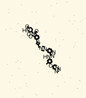 Cc1cc(Nc2ncnc3ccc(N4CCN(CC5CN(c6ccc7c(c6)C(=O)N(C6CCC(=O)NC6=O)C7=O)C5)CC4)cc23)ccc1Oc1ccn2ncnc2c1